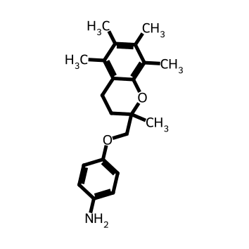 Cc1c(C)c(C)c2c(c1C)CCC(C)(COc1ccc(N)cc1)O2